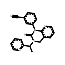 CC(c1ccccn1)N1Cc2cccnc2N(c2cccc(C#N)c2)C1=O